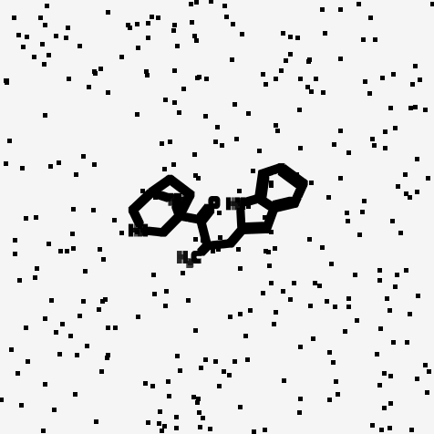 CC(Cc1cc2ccccc2[nH]1)C(=O)C12CCC(CNC1)N2